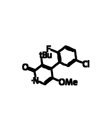 COC1=C[N]C(=O)C(C(C)(C)C)=C1c1cc(Cl)ccc1F